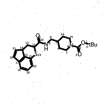 CC(C)(C)OC(=O)N1CCC(CNC(=O)C2CC3C=Cc4cccc(c43)S2)CC1